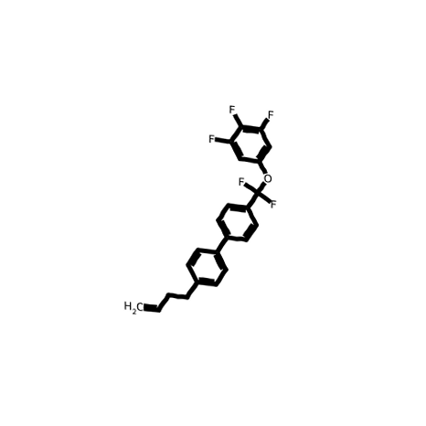 C=CCCc1ccc(-c2ccc(C(F)(F)Oc3cc(F)c(F)c(F)c3)cc2)cc1